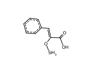 O=C(O)C(=Cc1ccccc1)O[SiH3]